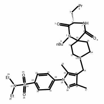 CCCCN1C(=O)[C@H](CC(C)C)NC(=O)C12CCN(Cc1c(C)nn(-c3ccc(S(=O)(=O)N(CC)CC)cc3)c1C)CC2